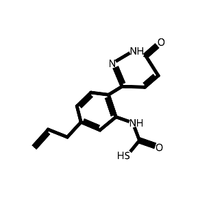 C=CCc1ccc(-c2ccc(=O)[nH]n2)c(NC(=O)S)c1